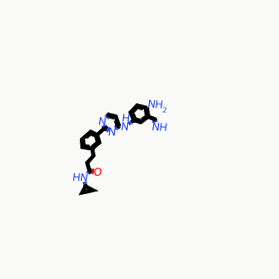 N=Cc1cc(Nc2ccnc(-c3cccc(CCC(=O)NC4CC4)c3)n2)ccc1N